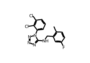 Cc1ccc(F)cc1CNc1nnnn1-c1cccc(Cl)c1Cl